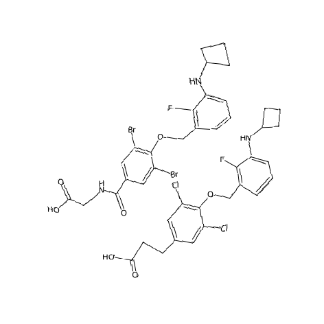 O=C(O)CCc1cc(Cl)c(OCc2cccc(NC3CCC3)c2F)c(Cl)c1.O=C(O)CNC(=O)c1cc(Br)c(OCc2cccc(NC3CCC3)c2F)c(Br)c1